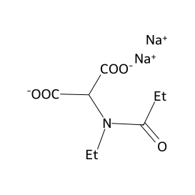 CCC(=O)N(CC)C(C(=O)[O-])C(=O)[O-].[Na+].[Na+]